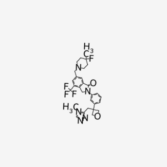 Cn1cnnc1CC1(c2cccc(N3Cc4c(cc(CN5CCC(C)(F)CC5)cc4C(F)(F)F)C3=O)c2)COC1